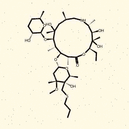 CCCSC[C@]1(O)[C@H](C)O[C@@H](O[C@H]2[C@H](C)[C@@H](O[C@@H]3O[C@H](C)CC[C@H]3O)[C@](C)(O)C[C@@H](C)CN[C@H](C)[C@@H](O)[C@](C)(O)[C@@H](CC)OC(=O)[C@@H]2C)C[C@@]1(C)OC